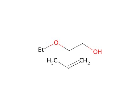 C=CC.CCOCCO